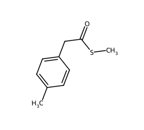 CSC(=O)Cc1ccc(C)cc1